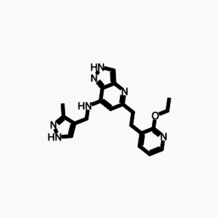 CCOc1ncccc1CCc1cc(NCc2c[nH]nc2C)c2n[nH]cc2n1